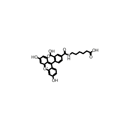 O=C(O)CCCCCNC(=O)c1ccc(-c2c3ccc(O)cc3[o+]c3cc(O)ccc23)c(C(=O)O)c1